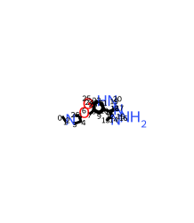 CCN1CCC(OCc2cc(-c3c(C)nc(N)nc3NC)ccc2OC)C1